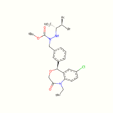 CC(=O)[C@@H](C(C)C)[C@H](NN(Cc1cccc([C@@H]2OCC(=O)N(CC(C)(C)C)c3ccc(Cl)cc32)c1)C(=O)OC(C)(C)C)C(=O)O